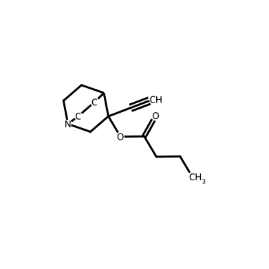 C#CC1(OC(=O)CCC)CN2CCC1CC2